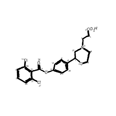 O=C(O)CCN1CCOC(c2ccc(OC(=O)c3c(Cl)cccc3Cl)cc2)C1